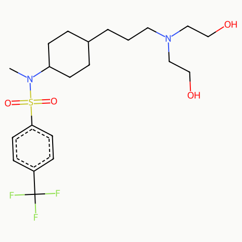 CN(C1CCC(CCCN(CCO)CCO)CC1)S(=O)(=O)c1ccc(C(F)(F)F)cc1